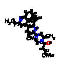 C=Cc1cc(-c2cc(C#N)c(N3CCN(C(=O)CCOC)C(C)C3)nc2C2CC2)c2ccccc2n1